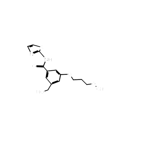 COCCCOc1cc(CO)cc(C(=O)Nc2nccs2)c1